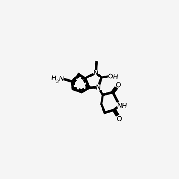 CN1c2cc(N)ccc2N(C2CCC(=O)NC2=O)C1O